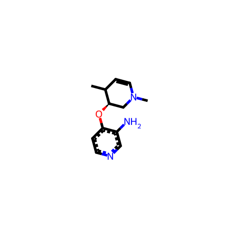 CC1C=CN(C)C[C@H]1Oc1ccncc1N